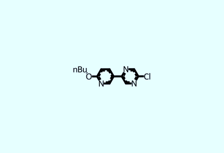 CCCCOc1ccc(-c2cnc(Cl)cn2)cn1